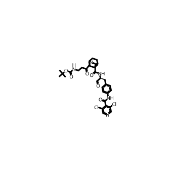 CC(C)(C)OC(=O)NCCC(=O)N1C2CCC(CC2)C1C(=O)N[C@H](C=O)Cc1ccc(NC(=O)c2c(Cl)cncc2Cl)cc1